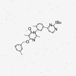 Cc1cccc(COc2nc(C)n(-c3cc(-c4ccnc(C(C)(C)C)n4)ccc3C)c(=O)c2C)c1